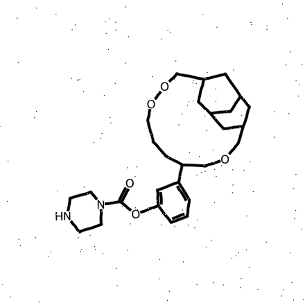 O=C(Oc1cccc(C2CCCOOCC3CC4CC(COC2)CC(C3)C4)c1)N1CCNCC1